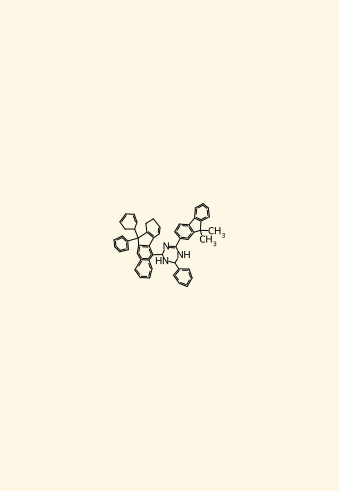 CC1(C)c2ccccc2-c2ccc(C3=NC(c4c5c(cc6ccccc46)C(c4ccccc4)(C4C=CC=CC4)C4=C5C=CCC4)NC(c4ccccc4)N3)cc21